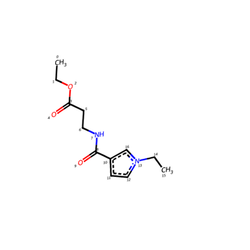 CCOC(=O)CCNC(=O)c1ccn(CC)c1